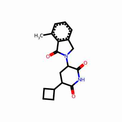 Cc1cccc2c1C(=O)N(C1CC(C3CCC3)C(=O)NC1=O)C2